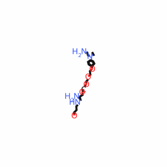 CCN(CCN)c1ccc(OCCOCCOCCOC/C(N)=C/NCCCC=O)cc1